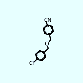 N#Cc1ccc(COCc2ccc(Cl)cc2)cc1